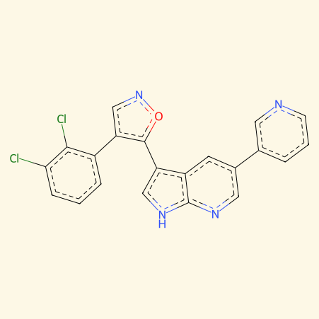 Clc1cccc(-c2cnoc2-c2c[nH]c3ncc(-c4cccnc4)cc23)c1Cl